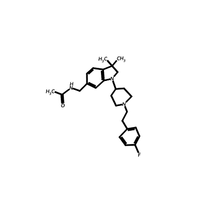 CC(=O)NCc1ccc2c(c1)N(C1CCN(CCc3ccc(F)cc3)CC1)CC2(C)C